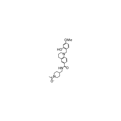 COc1ccc(CN2CCCc3cc(C(=O)NCC4CCN([S+](C)[O-])CC4)ccc32)c(O)c1